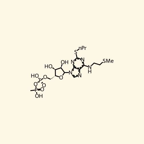 CCCSc1nc(NCCSC)c2ncn(C3O[C@H](COP(=O)(O)OP(C)(=O)O)[C@@H](O)[C@H]3O)c2n1